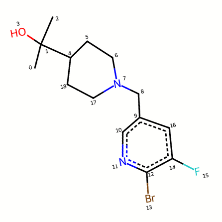 CC(C)(O)C1CCN(Cc2cnc(Br)c(F)c2)CC1